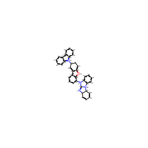 C1=CC2N=C3N(c4cccc5c6c(oc45)=CCC(n4c5ccccc5c5ccccc54)C=6)c4ccccc4N3C2C=C1